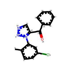 Cc1ccc(Cl)cc1-n1nncc1C(=O)c1ccccc1